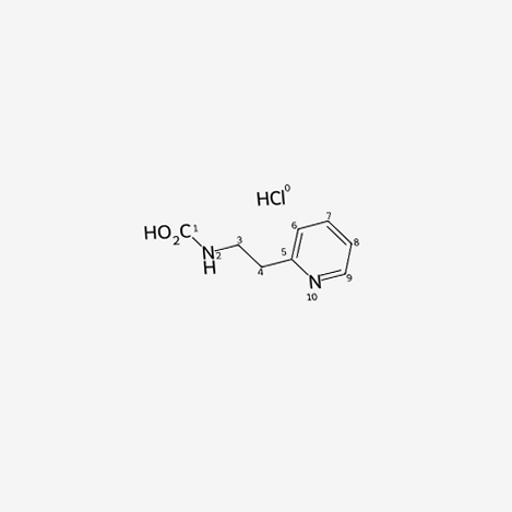 Cl.O=C(O)NCCc1ccccn1